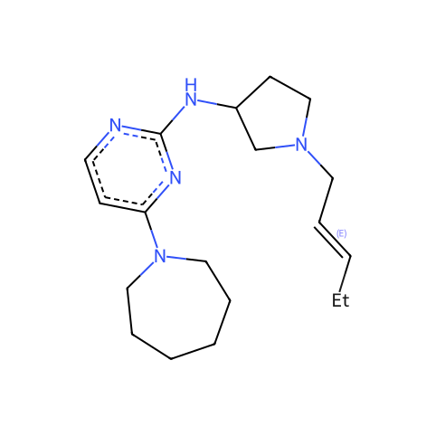 CC/C=C/CN1CCC(Nc2nccc(N3CCCCCC3)n2)C1